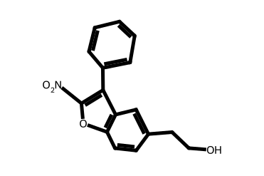 O=[N+]([O-])c1oc2ccc(CCO)cc2c1-c1ccccc1